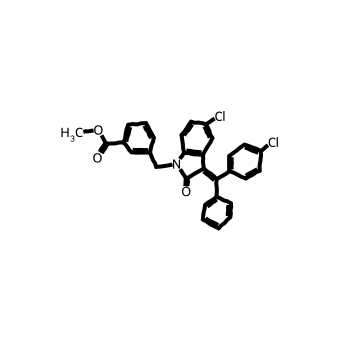 COC(=O)c1cccc(CN2C(=O)/C(=C(\c3ccccc3)c3ccc(Cl)cc3)c3cc(Cl)ccc32)c1